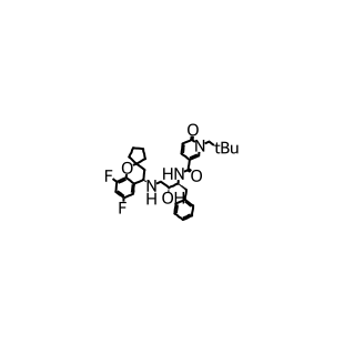 CC(C)(C)Cn1cc(C(=O)N[C@@H](Cc2ccccc2)[C@H](O)CN[C@H]2CC3(CCCC3)Oc3c(F)cc(F)cc32)ccc1=O